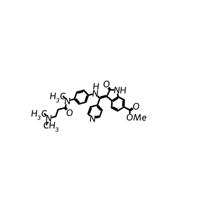 COC(=O)c1ccc2c(c1)NC(=O)/C2=C(\Nc1ccc(N(C)C(=O)CCN(C)C)cc1)c1ccncc1